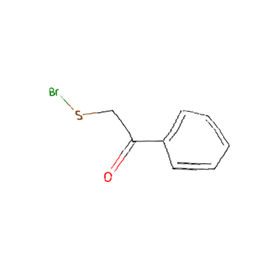 O=C(CSBr)c1ccccc1